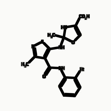 CCc1ccccc1NC(=O)c1c(C)nsc1NC1(C)NC(C(=O)O)=CO1